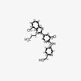 CCCn1c(-c2cnc(Nc3ccc(CO)nc3)c(Cl)c2)nc2cccc(Cl)c21